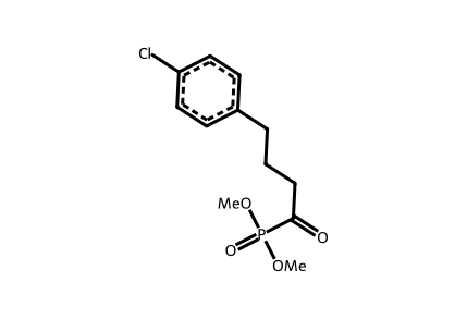 COP(=O)(OC)C(=O)CCCc1ccc(Cl)cc1